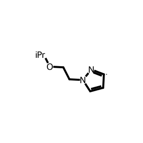 CC(C)OCCn1cc[c]n1